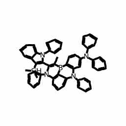 CC1=C(c2c([SiH](C)C)c3ccccc3n2-c2ccccc2)N(c2ccccc2)c2cccc3c2B1c1ccc(N(c2ccccc2)c2ccccc2)cc1N3c1ccccc1